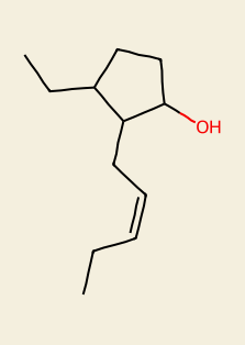 CC/C=C\CC1C(O)CCC1CC